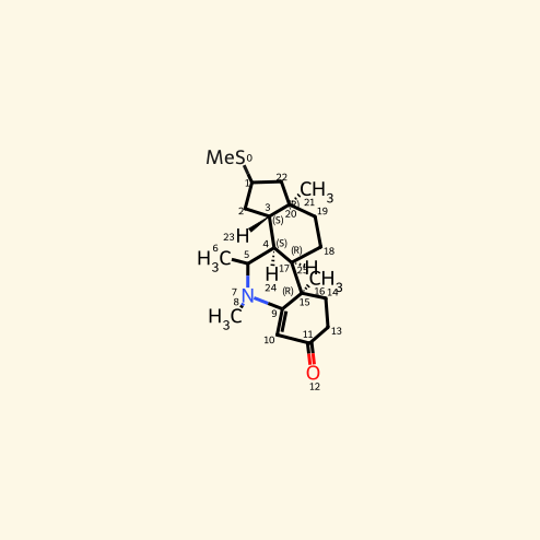 CSC1C[C@H]2[C@@H]3C(C)N(C)C4=CC(=O)CC[C@]4(C)[C@@H]3CC[C@]2(C)C1